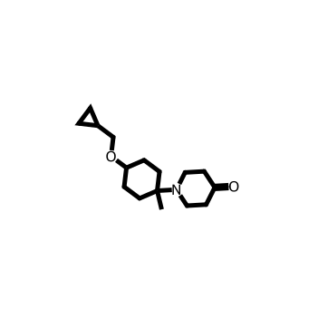 CC1(N2CCC(=O)CC2)CCC(OCC2CC2)CC1